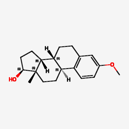 COc1ccc2c(c1)CC[C@@H]1[C@@H]2CC[C@@]2(C)[C@@H]1CC[C@@H]2O